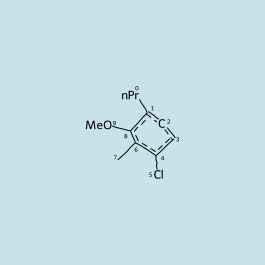 CCCc1ccc(Cl)c(C)c1OC